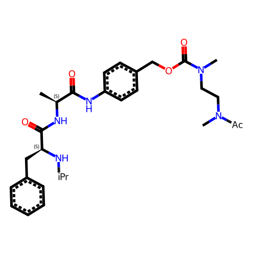 CC(=O)N(C)CCN(C)C(=O)OCc1ccc(NC(=O)[C@H](C)NC(=O)[C@H](Cc2ccccc2)NC(C)C)cc1